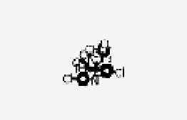 CC1(C)OC(=O)[C@H]2[C@H](c3cccc(Cl)c3F)[C@@](C#N)(c3ccc(Cl)cc3F)[C@H](CC3CCOCC3)N21